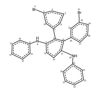 Brc1cccc(-c2c(Nc3ccccc3)ccc(Nc3ccccc3)c2-c2cccc(Br)c2)c1